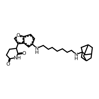 O=C1CCC(c2coc3ccc(NCCCCCCCNC45CC6CC(CC(C6)C4)C5)cc23)C(=O)N1